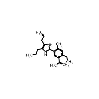 C=CCC1=C(CCC)NC(c2cc(C(=C)C)c(CC)cc2C)N1